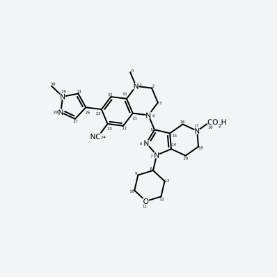 CN1CCN(c2nn(C3CCOCC3)c3c2CN(C(=O)O)CC3)c2cc(C#N)c(-c3cnn(C)c3)cc21